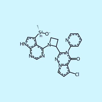 C[S@+]([O-])c1c[nH]c2ncnc(N3CCC3c3nn4ccc(Cl)c4c(=O)n3-c3ccccn3)c12